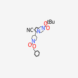 CC(C)(C)OC(=O)N1CCn2c(cc(C#N)c2C2CCN(C(=O)OCc3ccccc3)CC2)C1